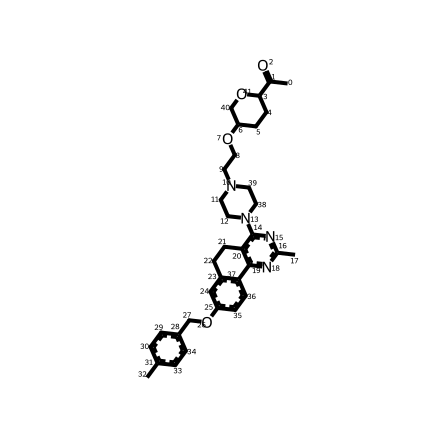 CC(=O)C1CCC(OCCN2CCN(c3nc(C)nc4c3CCc3cc(OCc5ccc(C)cc5)ccc3-4)CC2)CO1